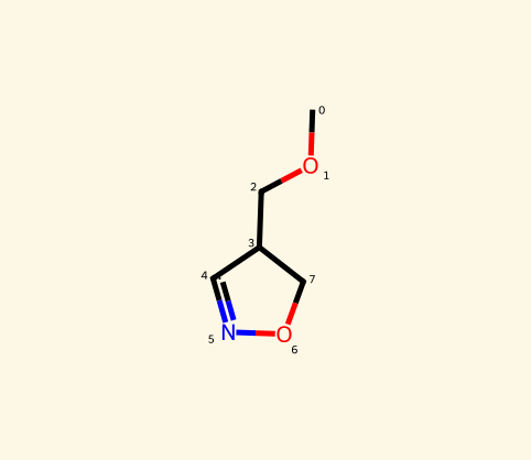 COCC1[C]=NOC1